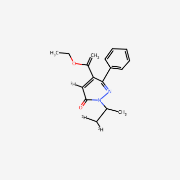 [2H]c1c(C(=C)OCC)c(-c2ccccc2)nn(C(C)C([2H])[2H])c1=O